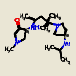 CC(C)N[C@H]1CCN(C(C)(C)CC(C)N[C@@H]2CN(C)CC2=O)C1